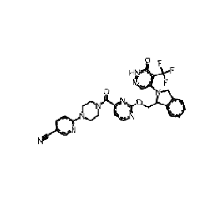 N#Cc1ccc(N2CCN(C(=O)c3ccnc(OCC4c5ccccc5CN4c4cn[nH]c(=O)c4C(F)(F)F)n3)CC2)nc1